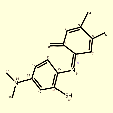 C=C1C=C(C)C(C)=C/C1=N/c1ccc(N(C)C)cc1S